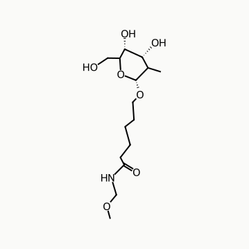 COCNC(=O)CCCCCO[C@@H]1OC(CO)[C@H](O)[C@H](O)C1C